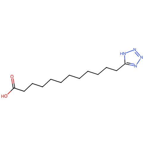 O=C(O)CCCCCCCCCCCc1nnn[nH]1